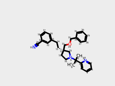 CC(C)(c1ccccn1)N1CC[C@@](CCc2cccc(C#N)c2)(COCc2ccccc2)C1